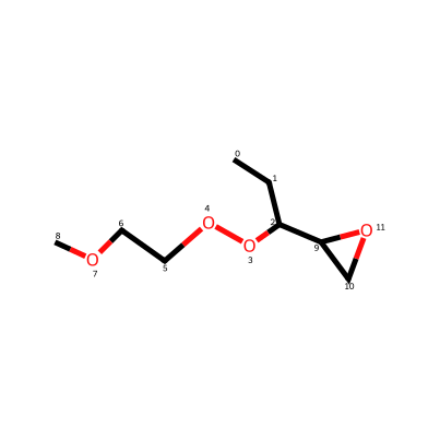 CCC(OOCCOC)C1CO1